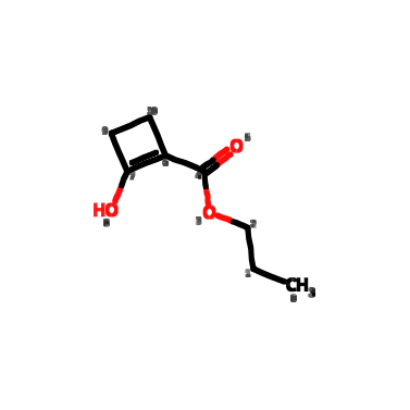 CCCOC(=O)C1=C(O)CC1